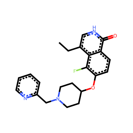 CCc1c[nH]c(=O)c2ccc(OC3CCN(Cc4ccccn4)CC3)c(F)c12